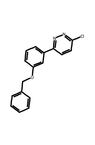 Clc1ccc(-c2cccc(OCc3ccccc3)c2)nn1